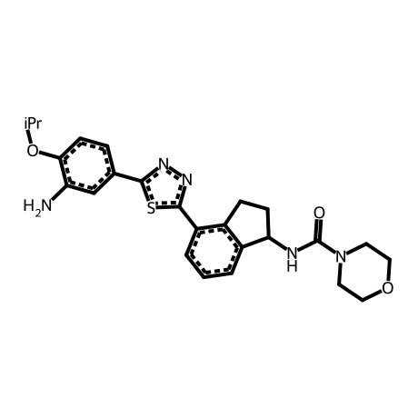 CC(C)Oc1ccc(-c2nnc(-c3cccc4c3CCC4NC(=O)N3CCOCC3)s2)cc1N